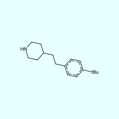 CC(C)(C)c1ccc(CCC2CCNCC2)cc1